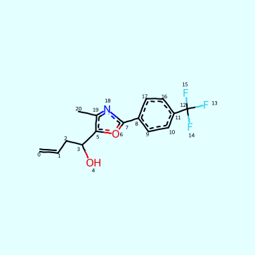 C=CCC(O)c1oc(-c2ccc(C(F)(F)F)cc2)nc1C